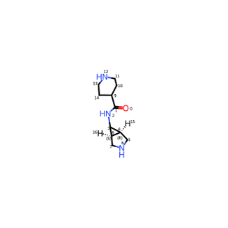 O=C(NC1[C@H]2CNC[C@@H]12)C1CCNCC1